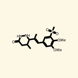 COc1cc(/C=C(\C)C2NNC(=O)CC2C)cc(S(C)(=O)=O)c1OC